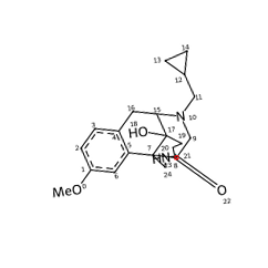 COc1ccc2c(c1)C13CCN(CC4CC4)C(C2)C1(O)CCC(=O)NC3